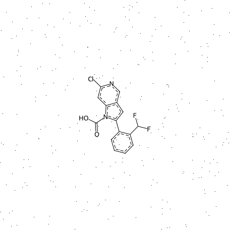 O=C(O)n1c(-c2ccccc2C(F)F)cc2cnc(Cl)cc21